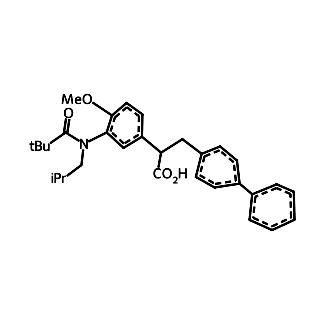 COc1ccc(C(Cc2ccc(-c3ccccc3)cc2)C(=O)O)cc1N(CC(C)C)C(=O)C(C)(C)C